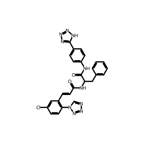 O=C(C=Cc1cc(Cl)ccc1-n1cnnn1)NC(Cc1ccccc1)C(=O)Nc1ccc(-c2nnn[nH]2)cc1